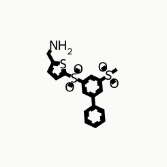 CS(=O)(=O)c1cc(-c2ccccc2)cc(S(=O)(=O)c2ccc(CN)s2)c1